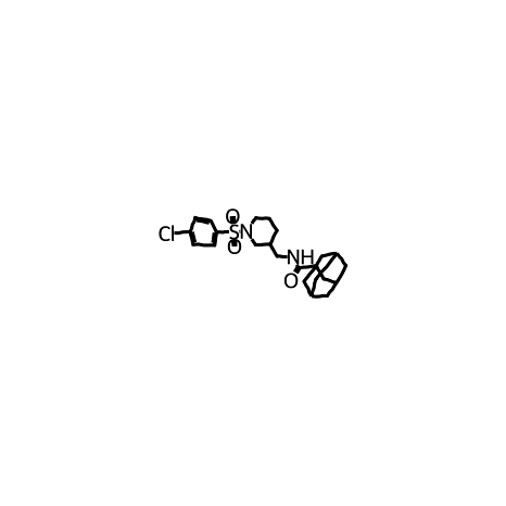 O=C(NCC1CCCN(S(=O)(=O)c2ccc(Cl)cc2)C1)C12CC3CC(CC(C3)C1)C2